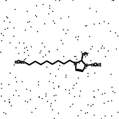 CCCCCCCCCCCCCCCCCCN1C=CN(CCCCCCCC)C1CCC